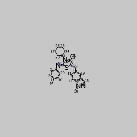 Cc1ccc(/N=C2\S/C(=C\c3ccc4c(cnn4C)c3)C(=O)N2C2CCCCC2)cc1